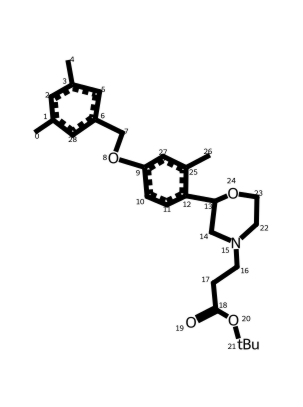 Cc1cc(C)cc(COc2ccc(C3CN(CCC(=O)OC(C)(C)C)CCO3)c(C)c2)c1